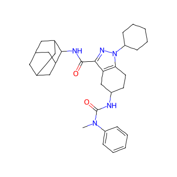 CN(C(=O)NC1CCc2c(c(C(=O)NC3C4CC5CC(C4)CC3C5)nn2C2CCCCC2)C1)c1ccccc1